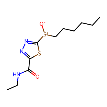 CCCCCC[S+]([O-])c1nnc(C(=O)NCC)s1